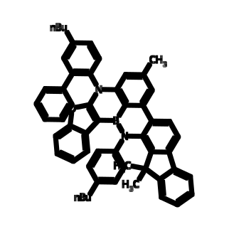 CCCCc1ccc(N2B3c4c(cc(C)cc4N(c4ccc(CCCC)cc4-c4ccccc4)c4oc5ccccc5c43)-c3ccc4c(c32)C(C)(C)c2ccccc2-4)cc1